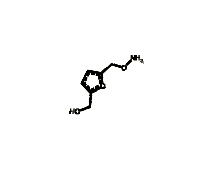 NOCc1ccc(CO)o1